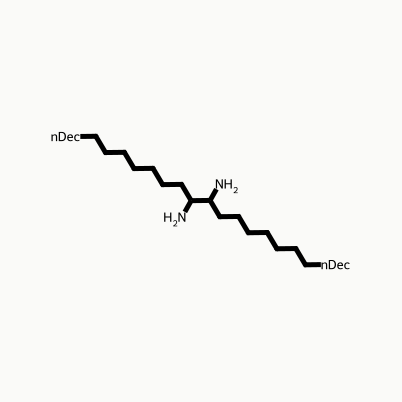 CCCCCCCCCCCCCCCCCC(N)C(N)CCCCCCCCCCCCCCCCC